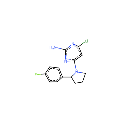 Nc1nc(Cl)cc(N2CCCC2c2ccc(F)cc2)n1